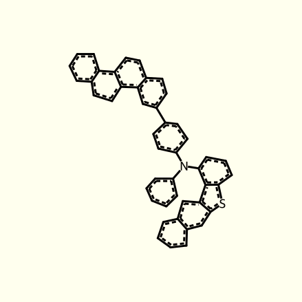 c1ccc(N(c2ccc(-c3ccc4ccc5c6ccccc6ccc5c4c3)cc2)c2cccc3sc4cc5ccccc5cc4c23)cc1